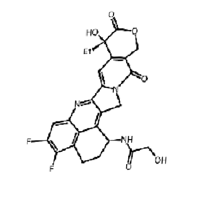 CC[C@@]1(O)C(=O)OCc2c1cc1n(c2=O)Cc2c-1nc1cc(F)c(F)c3c1c2[C@@H](NC(=O)CO)CC3